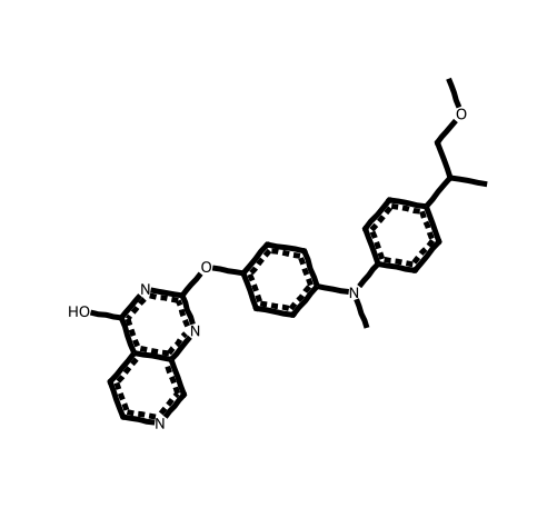 COCC(C)c1ccc(N(C)c2ccc(Oc3nc(O)c4ccncc4n3)cc2)cc1